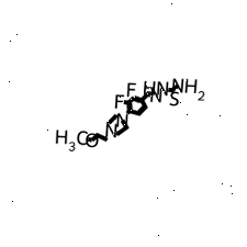 COCCN1CCN(c2ccc(/C=N/NC(N)=S)c(F)c2F)CC1